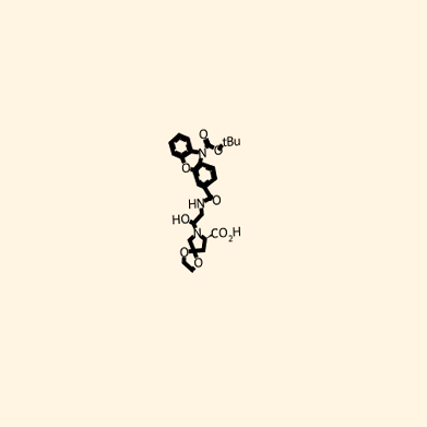 CC(C)(C)OC(=O)N1c2ccccc2Oc2cc(C(=O)NCC(O)N3CC4(C[C@H]3C(=O)O)OCCO4)ccc21